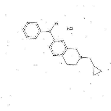 CC(C)N(c1ccccc1)c1ccc2c(c1)CN(CC1CC1)CC2.Cl